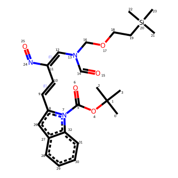 CC(C)(C)OC(=O)n1c(/C=C/C(=C\N(C=O)COCC[Si](C)(C)C)N=O)cc2ccccc21